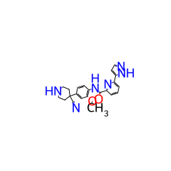 COc1cc(C2(C#N)CCNCC2)ccc1NC(=O)c1cccc(-c2ccn[nH]2)n1